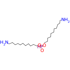 NCCCCCCCCCCCO[PH](=O)OCCCCCCCCCCCN